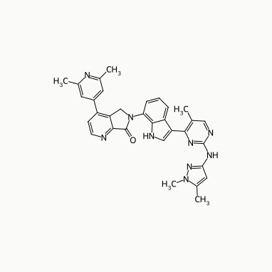 Cc1cc(-c2ccnc3c2CN(c2cccc4c(-c5nc(Nc6cc(C)n(C)n6)ncc5C)c[nH]c24)C3=O)cc(C)n1